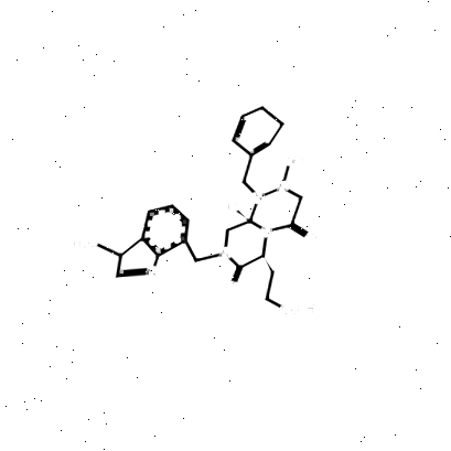 CCCN1CC(=O)N2[C@@H](CCC(=O)O)C(=O)N(Cc3cccc4c3N=CC4C)C[C@@H]2N1CC1=CCCC=C1